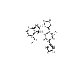 CSc1cccc2nc([C@@H]3CCCN3c3ccc(-n4nccn4)[c]c3C)[nH]c12